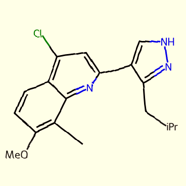 COc1ccc2c(Cl)cc(-c3c[nH]nc3CC(C)C)nc2c1C